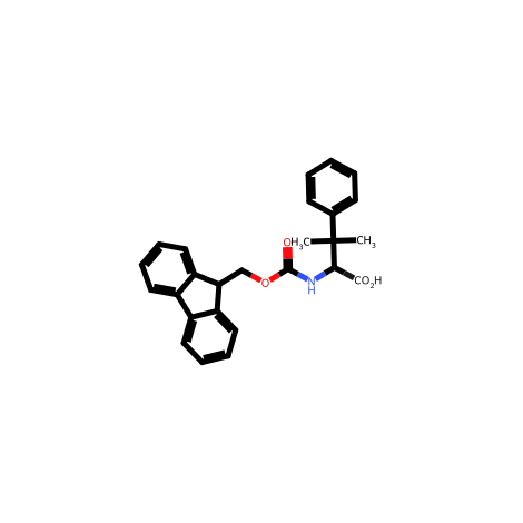 CC(C)(c1ccccc1)C(NC(=O)OCC1c2ccccc2-c2ccccc21)C(=O)O